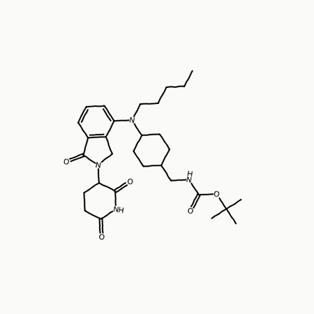 CCCCCN(c1cccc2c1CN(C1CCC(=O)NC1=O)C2=O)C1CCC(CNC(=O)OC(C)(C)C)CC1